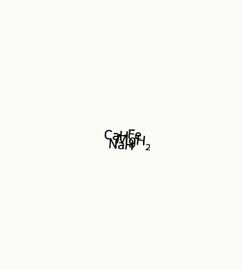 [CaH2].[Fe].[MgH2].[NaH]